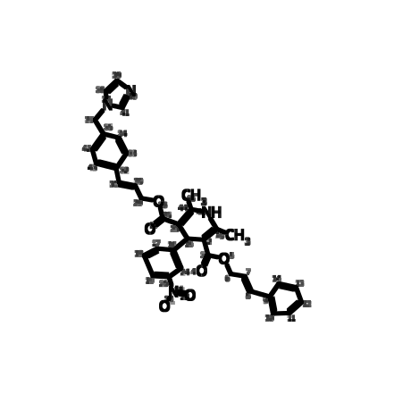 CC1=C(C(=O)OC/C=C/c2ccccc2)C(c2cccc([N+](=O)[O-])c2)C(C(=O)OC/C=C/c2ccc(Cn3ccnc3)cc2)=C(C)N1